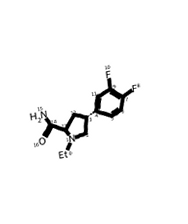 CCN1C[C@@H](c2ccc(F)c(F)c2)[CH]C1C(N)=O